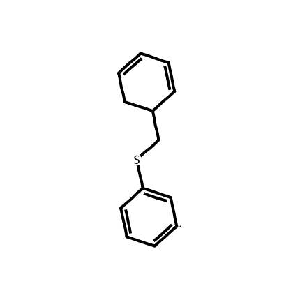 [c]1cccc(SCC2C=CC=CC2)c1